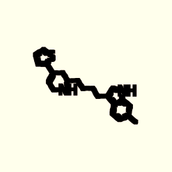 Cc1ccc2c(CCCCC3CC(c4cccs4)=CCN3)c[nH]c2c1